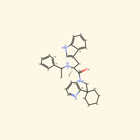 CC(N[C@@](C)(Cc1c[nH]c2ccccc12)C(=O)NCC1(c2ccccn2)CCCCC1)c1ccccc1